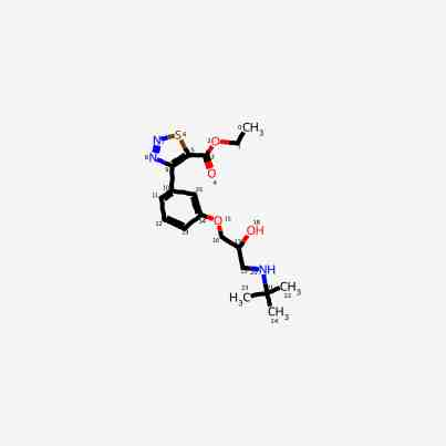 CCOC(=O)c1snnc1-c1cccc(OCC(O)CNC(C)(C)C)c1